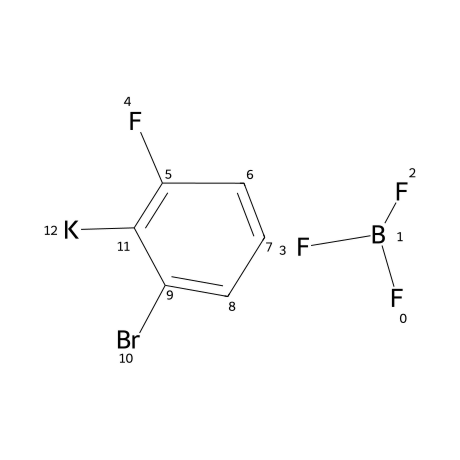 FB(F)F.Fc1cccc(Br)[c]1[K]